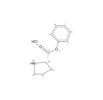 Cl.O=C(Oc1ccccc1)[C@@H]1CCCN1